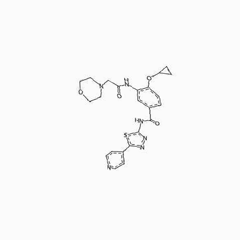 O=C(CN1CCOCC1)Nc1cc(C(=O)Nc2nnc(-c3ccncc3)s2)ccc1OC1CC1